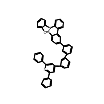 c1ccc(-c2cc(-c3cccc(-c4cccc(-c5ccc6c(c5)-c5ccccc5N5B6Oc6ccccc65)c4)c3)cc(-c3ccccc3)n2)cc1